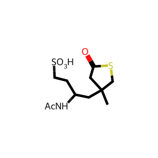 CC(=O)NC(CCS(=O)(=O)O)CC1(C)CSC(=O)C1